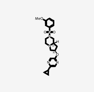 COc1cccc(S(=O)(=O)N2CCN3C[C@H](Oc4cnc(C5CC5)cn4)C[C@H]3C2)c1